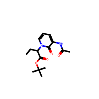 CCC(C(=O)OC(C)(C)C)n1cccc(NC(C)=O)c1=O